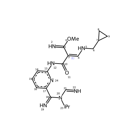 COC(=N)/C(=C\NCC1CC1)C(=O)Nc1cccc(C(=N)N(C=N)C(C)C)n1